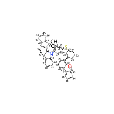 CC1(C)C2=C(C=CC3c4ccccc4N(c4ccc5sc6cccc(-c7cccc8c7oc7ccccc78)c6c5c4)C23)c2ccccc21